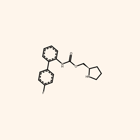 O=C(Nc1ccccc1-c1ccc(F)cc1)OC[C@H]1CCCN1